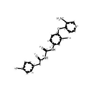 Nc1cnccc1Oc1ccc(NC(=O)NC(=O)Cc2ccc(F)cc2)cc1F